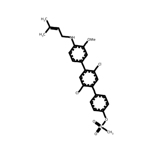 COc1cc(-c2cc(Cl)c(-c3ccc(OS(C)(=O)=O)cc3)cc2Cl)ccc1NCC=C(C)C